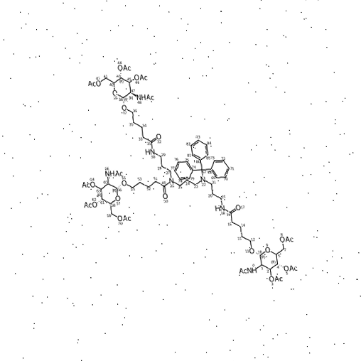 CC(=O)NC1C(OC(C)=O)[C@@H](OC(C)=O)C(COC(C)=O)O[C@H]1OCCCCC(=O)NCCCN(CCCN(CCCNC(=O)CCCCO[C@@H]1OC(COC(C)=O)[C@H](OC(C)=O)C(OC(C)=O)[C@H]1NC(C)=O)C(=O)CCCCO[C@@H]1OC(COC(C)=O)[C@H](OC(C)=O)C(OC(C)=O)C1NC(C)=O)C(c1ccccc1)(c1ccccc1)c1ccccc1